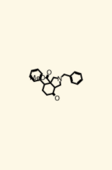 COC(=O)C12CN(Cc3ccccc3)CC1C(=O)CCC2c1ccccc1